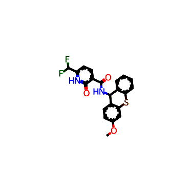 COc1ccc2c(c1)Sc1ccccc1C2NC(=O)c1ccc(C(F)F)[nH]c1=O